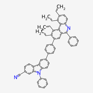 C=Cc1ccc2nc(-c3ccccc3)c3cc(-c4ccc(-c5ccc6c(c5)c5ccc(C#N)cc5n6-c5ccccc5)cc4)c(C=C)c(C=C)c3c2c1C=C